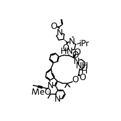 C=CC(=O)N1CC[C@H](C(=O)N(C)[C@H](C(=O)N[C@H]2Cc3cccc(c3)-c3ccc4c(c3)c(c(-c3cccnc3[C@H](C)OC)n4CC#CC)CC(C)(C)COC(=O)[C@@H]3CCCN(N3)C2=O)C(C)C)C1